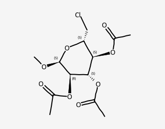 CO[C@H]1O[C@H](CCl)[C@@H](OC(C)=O)[C@H](OC(C)=O)[C@H]1OC(C)=O